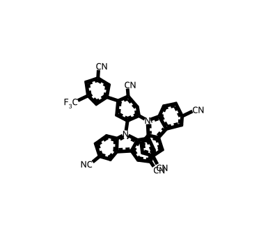 N#Cc1cc(-c2cc(-n3c4ccc(C#N)cc4c4cc(C#N)ccc43)c(-n3c4ccc(C#N)cc4c4cc(C#N)ccc43)cc2C#N)cc(C(F)(F)F)c1